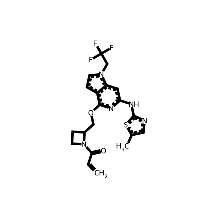 C=CC(=O)N1CCC1COc1nc(Nc2ncc(C)s2)cc2c1ccn2CC(F)(F)F